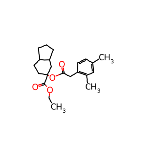 CCOC(=O)C1(OC(=O)Cc2ccc(C)cc2C)CCC2CCCC2C1